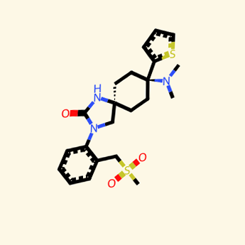 CN(C)[C@]1(c2cccs2)CC[C@]2(CC1)CN(c1ccccc1CS(C)(=O)=O)C(=O)N2